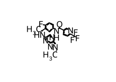 CCn1cc2ncc(NC(C)c3cc(NC(=O)c4ccc(C(F)(F)F)nc4)ccc3F)nc2n1